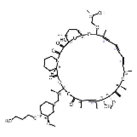 C=C1[C@H](C)C[C@H](C)/C=C/C=C/C=C(\C)C(OC[C@H](C)O)C[C@@H]2CC[C@@H](C)[C@@](O)(O2)C(=O)C(=O)N2CCCC[C@H]2C(=O)O[C@H]([C@H](C)C[C@@H]2CC[C@@H](OCCCO)[C@H](OC)C2)CC(=O)[C@H](C)/C=C(\C)[C@@H](O)[C@H]1OC